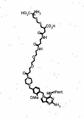 CCCCCNc1nc(N)nc2ccn(Cc3ccc(CN4CCN(C(=O)CCOCCOCCNC(=O)CCNC(=O)CC(CSCSC[C@H](N)C(=O)O)C(=O)O)CC4)cc3OC)c12